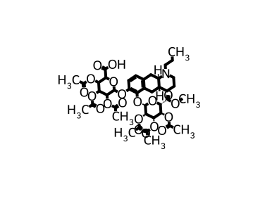 CCCN1CCC[C@@H]2Cc3c(ccc(OC4OC(C(=O)O)C(OC(C)=O)C(OC(C)=O)C4OC(C)=O)c3O[C@@H]3O[C@H](C(=O)OC)[C@@H](OC(C)=O)[C@H](OC(C)=O)[C@H]3OC(C)=O)C[C@H]21